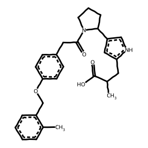 Cc1ccccc1COc1ccc(CC(=O)N2CCCC2c2c[nH]c(CC(C)C(=O)O)c2)cc1